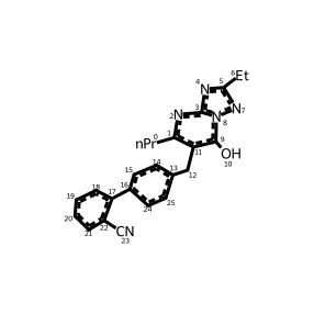 CCCc1nc2nc(CC)nn2c(O)c1Cc1ccc(-c2ccccc2C#N)cc1